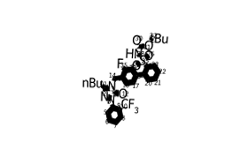 CCCCc1nn(-c2ccccc2C(F)(F)F)c(=O)n1Cc1ccc(-c2ccccc2S(=O)(=O)NC(=O)OC(C)(C)C)cc1F